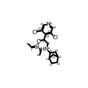 C/C=[Si](/CC)OC(CNC1CC2CCC1C2)c1c(Cl)cncc1Cl